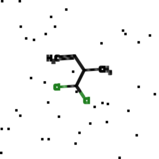 C=CC(C)C(Cl)Cl